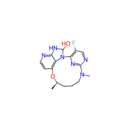 C[C@@H]1CCCN(C)c2ncc(F)c(n2)N2c3c(ccnc3NC2O)O1